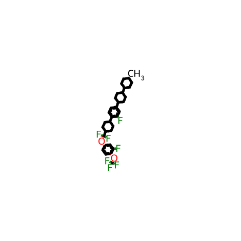 CC1CCC(C2CCC(c3ccc(C4CCC(C(F)(F)Oc5ccc(OC(F)(F)F)c(F)c5)CC4)c(F)c3)CC2)CC1